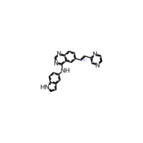 C(=C\c1cnccn1)/c1ccc2ncnc(Nc3ccc4[nH]ccc4c3)c2c1